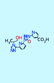 C[C@H](CO)n1cnnc1-c1cccc(NC(=O)Nc2cc(C(=O)O)ccn2)n1